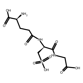 N[C@@H](CCC(=O)N[C@H](CS(=O)(=O)O)C(=O)NCC(=O)O)C(=O)O